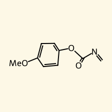 C=NC(=O)Oc1ccc(OC)cc1